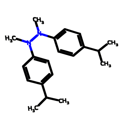 CC(C)c1ccc(N(C)N(C)c2ccc(C(C)C)cc2)cc1